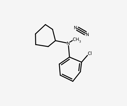 CN(c1ccccc1Cl)C1CCCCC1.N#N